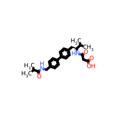 CC(C)C(=O)NCc1ccc(-c2ccc(C[C@H](NC(=O)CC(=O)O)C(C)C)cc2)cc1